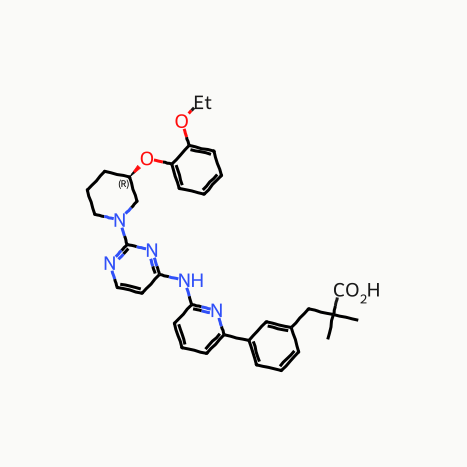 CCOc1ccccc1O[C@@H]1CCCN(c2nccc(Nc3cccc(-c4cccc(CC(C)(C)C(=O)O)c4)n3)n2)C1